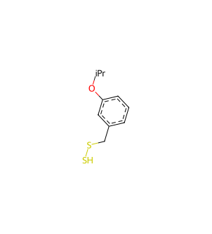 CC(C)Oc1cccc(CSS)c1